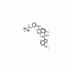 Cc1ccc2c(Nc3cccc(CNS(C)(=O)=O)c3)nccc2c1NC(=O)c1csc2c(N)ncnc12